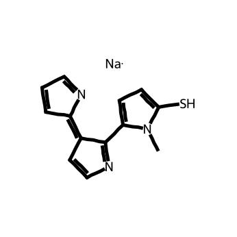 Cn1c(S)ccc1C1=NC=CC1=C1C=CC=N1.[Na]